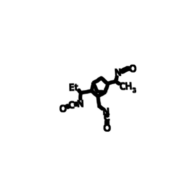 CCC(N=C=O)C1C2CC(C(C)N=C=O)C(C2)C1CN=C=O